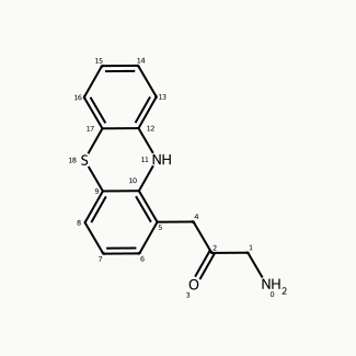 NCC(=O)Cc1cccc2c1Nc1ccccc1S2